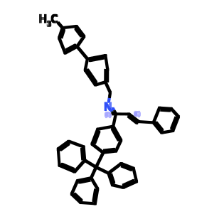 Cc1ccc(-c2ccc(C/N=C(\C=C\c3ccccc3)c3ccc(C(c4ccccc4)(c4ccccc4)c4ccccc4)cc3)cc2)cc1